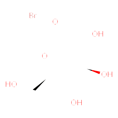 OC[C@H]1O[C@H](OBr)[C@H](O)[C@@H](O)[C@@H]1O